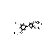 COc1cc(C)nc(-n2cc(OC)c(C)n2)n1